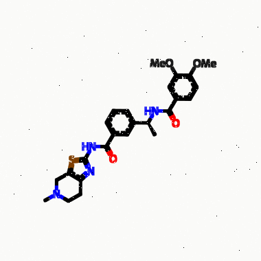 COc1ccc(C(=O)N[C@@H](C)c2cccc(C(=O)Nc3nc4c(s3)CN(C)CC4)c2)cc1OC